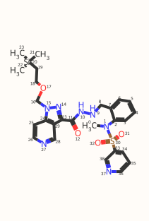 CN(c1ccccc1CNNC(=O)c1nn(COCC[Si](C)(C)C)c2ccncc12)S(=O)(=O)c1cccnc1